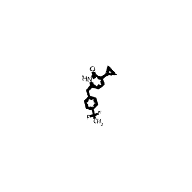 CC(F)(F)c1ccc(Cc2ccc(C3CC3)c(=O)[nH]2)cc1